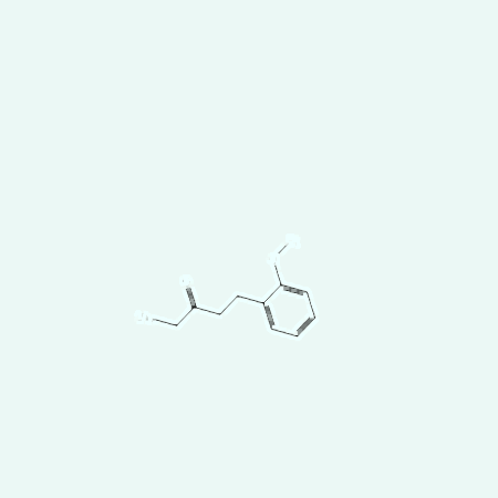 CCOc1ccccc1CCC(=O)CC(C)(C)C